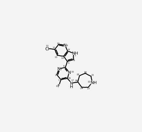 Fc1cnc(-c2c[nH]c3ncc(Cl)cc23)nc1NC1CCCNCC1